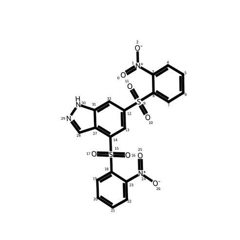 O=[N+]([O-])c1ccccc1S(=O)(=O)c1cc(S(=O)(=O)c2ccccc2[N+](=O)[O-])c2cn[nH]c2c1